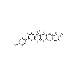 Cc1ccc(-c2cc(OC3Cc4cc5ccc(=O)oc5cc4OC3(C)C)ncn2)cc1